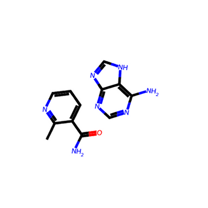 Cc1ncccc1C(N)=O.Nc1ncnc2nc[nH]c12